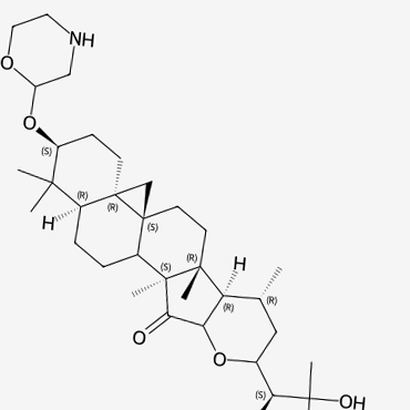 CC(=O)O[C@@H](C1C[C@@H](C)[C@H]2C(O1)C(=O)[C@@]1(C)C3CC[C@H]4C(C)(C)[C@@H](OC5CNCCO5)CC[C@@]45C[C@@]35CC[C@]21C)C(C)(C)O